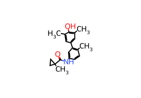 Cc1ccc(NC(=O)C2(C)CC2)cc1-c1cc(C)c(O)c(C)c1